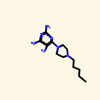 CCCCCN1CCN(c2nc(N)nc(N)c2N)CC1